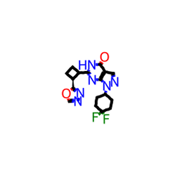 O=c1[nH]c(C2CC[C@@H]2c2nnco2)nc2c1cnn2C1CCC(F)(F)CC1